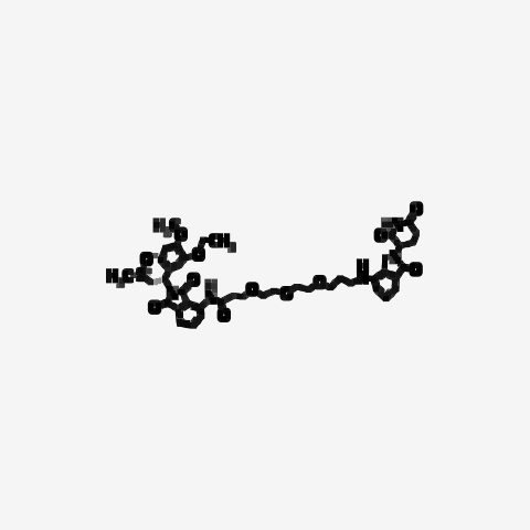 CCOc1cc([C@@H](C[S+](C)[O-])N2C(=O)c3cccc(NC(=O)CCOCCOCCOCCCNc4cccc5c4CN(C4CCC(=O)NC4=O)C5=O)c3C2=O)ccc1OC